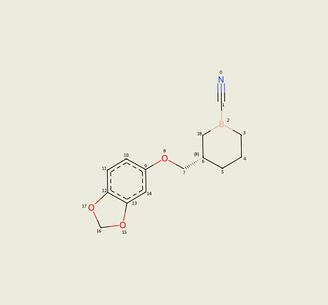 N#CB1CCC[C@H](COc2ccc3c(c2)OCO3)C1